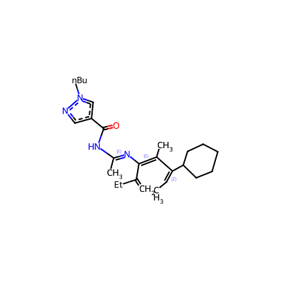 C=C(CC)C(/N=C(\C)NC(=O)c1cnn(CCCC)c1)=C(C)\C(=C/C)C1CCCCC1